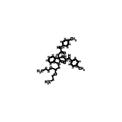 CCCOC(CN1C(=O)C(CC(=O)Nc2ccc(C)cc2)(NC(=O)Nc2ccc(C)cc2)c2ccccc21)OCCC